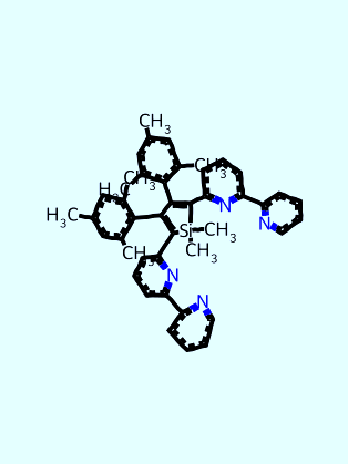 Cc1cc(C)c(C2=C(c3cccc(-c4ccccn4)n3)[Si](C)(C)C(c3cccc(-c4ccccn4)n3)=C2c2c(C)cc(C)cc2C)c(C)c1